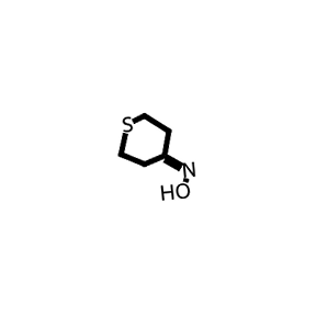 ON=C1CCSCC1